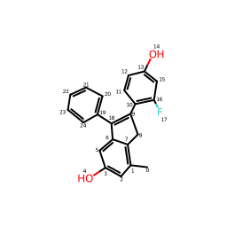 Cc1cc(O)cc2c1CC(c1ccc(O)cc1F)=C2c1ccccc1